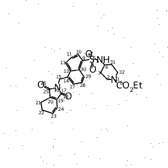 CCOC(=O)N1CCC(NS(=O)(=O)c2cccc3c(CN4C(=O)C5=C(CCC=C5)C4=O)cccc23)CC1